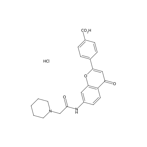 Cl.O=C(CN1CCCCC1)Nc1ccc2c(=O)cc(-c3ccc(C(=O)O)cc3)oc2c1